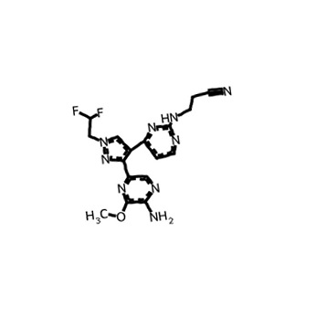 COc1nc(-c2nn(CC(F)F)cc2-c2ccnc(NCCC#N)n2)cnc1N